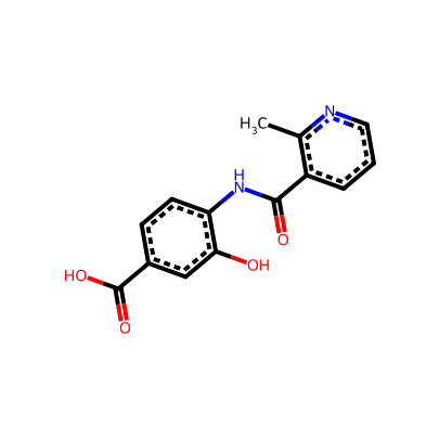 Cc1ncccc1C(=O)Nc1ccc(C(=O)O)cc1O